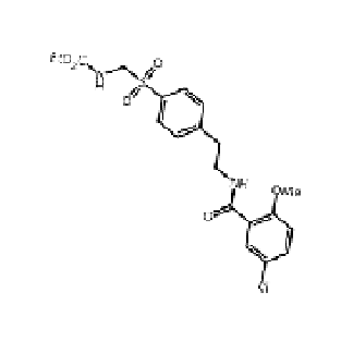 CCOC(=O)NCS(=O)(=O)c1ccc(CCNC(=O)c2cc(Cl)ccc2OC)cc1